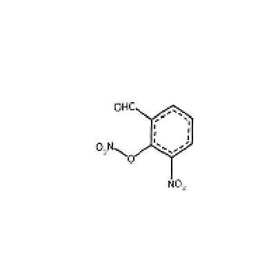 O=Cc1cccc([N+](=O)[O-])c1O[N+](=O)[O-]